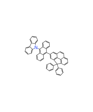 c1ccc(C2(c3ccccc3)c3cccc4ccc5cc(-c6c7ccccc7c(-n7c8ccccc8c8ccccc87)c7ccccc67)cc2c5c34)cc1